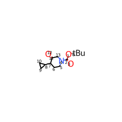 CC(C)(C)OC(=O)N1CCC(C2CC2)C(=O)C1